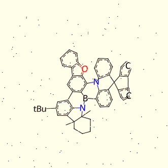 CC(C)(C)c1cc2c3c(c1)C1(C)CCCCC1(C)N3B1c3cccc4c3N(c3ccccc3C43c4ccccc4-c4ccccc43)c3c1c-2cc1c3oc2ccccc21